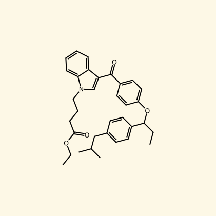 CCOC(=O)CCCn1cc(C(=O)c2ccc(OC(CC)c3ccc(CC(C)C)cc3)cc2)c2ccccc21